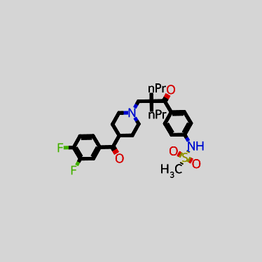 CCCC(CCC)(CN1CCC(C(=O)c2ccc(F)c(F)c2)CC1)C(=O)c1ccc(NS(C)(=O)=O)cc1